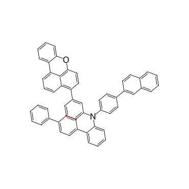 c1ccc(-c2ccc(-c3ccccc3N(c3ccc(-c4ccc5ccccc5c4)cc3)c3cccc(-c4ccc5c6c(cccc46)-c4ccccc4O5)c3)cc2)cc1